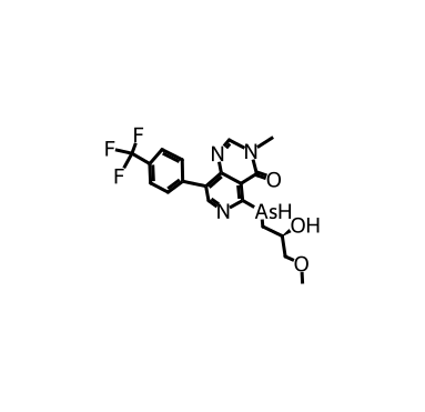 COC[C@H](O)C[AsH]c1ncc(-c2ccc(C(F)(F)F)cc2)c2ncn(C)c(=O)c12